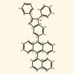 c1ccc(-c2nc3cc(-c4c5ccccc5c(-c5cccc6ccccc56)c5ccccc45)ccc3n2-c2ccccc2)cc1